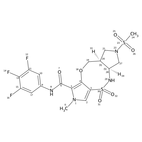 Cn1cc2c(c1C(=O)Nc1cc(F)c(F)c(F)c1)OC[C@H]1CN(S(C)(=O)=O)C[C@H]1NS2(=O)=O